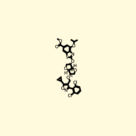 COC(=O)c1cc(OC(C)C)c2nc(O[C@@H]3CO[C@H]4[C@@H]3OC[C@@H]4OCc3c(-c4c(Cl)cccc4Cl)noc3C3CC3)sc2c1